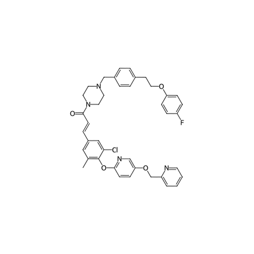 Cc1cc(C=CC(=O)N2CCN(Cc3ccc(CCOc4ccc(F)cc4)cc3)CC2)cc(Cl)c1Oc1ccc(OCc2ccccn2)cn1